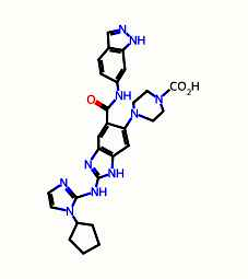 O=C(Nc1ccc2cn[nH]c2c1)c1cc2nc(Nc3nccn3C3CCCC3)[nH]c2cc1N1CCN(C(=O)O)CC1